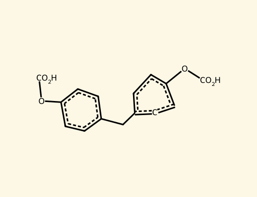 O=C(O)Oc1ccc(Cc2ccc(OC(=O)O)cc2)cc1